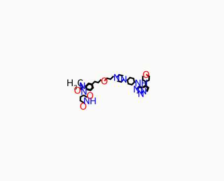 Cn1c(=O)n(C2CCC(=O)NC2=O)c2ccc(CCCOCCCN3CCN(C4CCC(Nc5ncnn6ccc(C7CCOCC7)c56)CC4)CC3)cc21